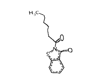 CCCCCC(=O)n1sc2ccccc2c1=O